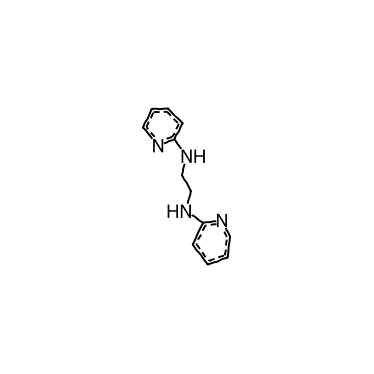 c1ccc(NCCNc2ccccn2)nc1